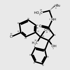 CCCC[C@H](NC(=O)CC(O)(c1ccccc1)C(C)(C)c1cccc(Cl)c1)C(=O)O